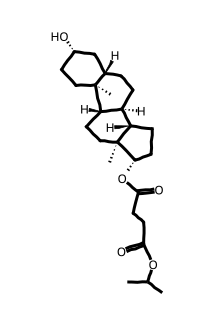 CC(C)OC(=O)CCC(=O)O[C@H]1CC[C@H]2[C@@H]3CC[C@H]4C[C@@H](O)CC[C@]4(C)[C@H]3CC[C@]12C